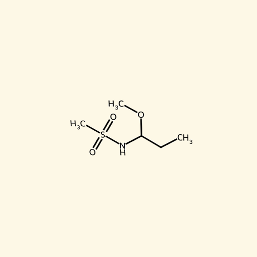 CCC(NS(C)(=O)=O)OC